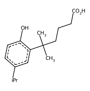 CC(C)c1ccc(O)c(C(C)(C)CCCC(=O)O)c1